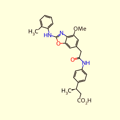 COc1cc(CC(=O)Nc2ccc([C@H](C)CC(=O)O)cc2)cc2oc(Nc3ccccc3C)nc12